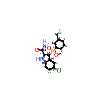 COP(=O)(c1cccc(CF)c1)c1c(C(N)=O)[nH]c2ccc(Cl)cc12